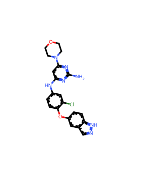 Nc1nc(Nc2ccc(Oc3ccc4[nH]ncc4c3)c(Cl)c2)cc(N2CCOCC2)n1